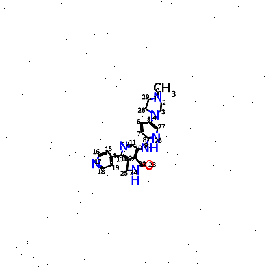 CN1CCN(c2ccc(Nc3cnc(-c4ccncc4)c4c3C(=O)NC4)nc2)CC1